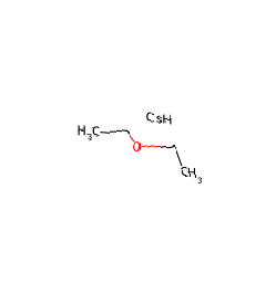 CCOCC.[CsH]